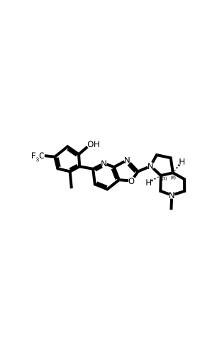 Cc1cc(C(F)(F)F)cc(O)c1-c1ccc2oc(N3CC[C@H]4CCN(C)C[C@H]43)nc2n1